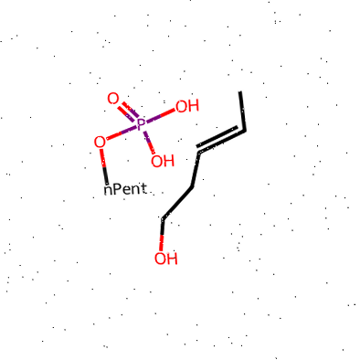 CC=CCCO.CCCCCOP(=O)(O)O